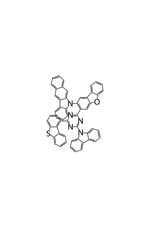 c1ccc2cc3c(cc2c1)c1ccccc1n3-c1cc2c(cc1-c1nc(-c3cccc4sc5ccccc5c34)nc(-n3c4ccccc4c4ccccc43)n1)oc1ccccc12